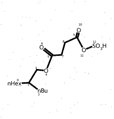 CCCCCCC(CCCC)COC(=O)CCC(=O)OS(=O)(=O)O